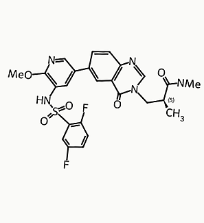 CNC(=O)[C@@H](C)Cn1cnc2ccc(-c3cnc(OC)c(NS(=O)(=O)c4cc(F)ccc4F)c3)cc2c1=O